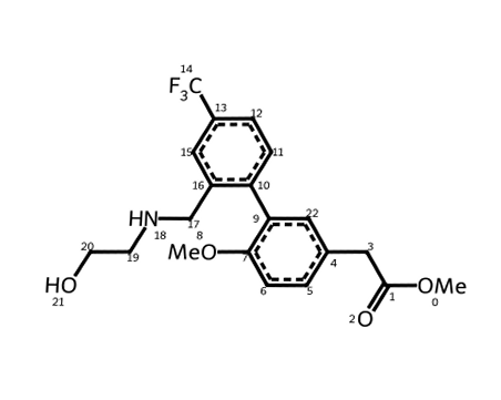 COC(=O)Cc1ccc(OC)c(-c2ccc(C(F)(F)F)cc2CNCCO)c1